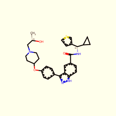 C[C@H](O)CN1CCC(Oc2ccc(-c3n[nH]c4ccc(C(=O)N[C@H](c5ccsc5)C5CC5)cc34)cc2)CC1